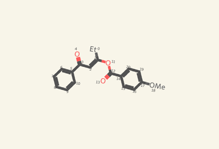 CC/C(=C\C(=O)c1ccccc1)OC(=O)c1ccc(OC)cc1